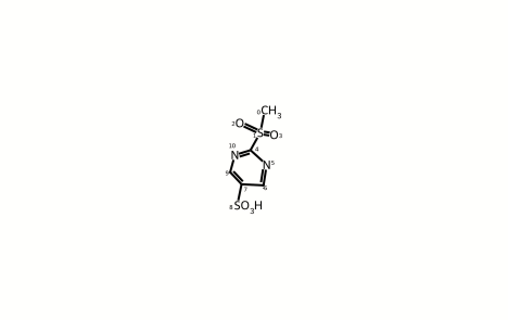 CS(=O)(=O)c1n[c]c(S(=O)(=O)O)cn1